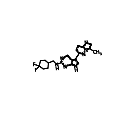 Cc1cnc2ccc(-c3c[nH]c4nc(NCC5CCC(F)(F)CC5)ncc34)nn12